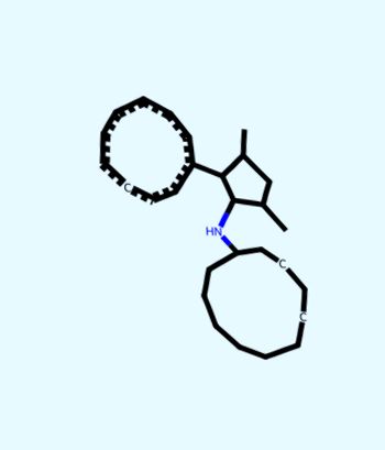 CC1CC(C)C(c2ccccccccc2)C1NC1CCCCCCCCCC1